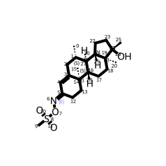 C[C@H]1CC2=C/C(=N/OS(C)(=O)=O)CC[C@]2(C)[C@H]2CC[C@@]3(C)[C@@H](CC[C@]3(C)O)[C@H]12